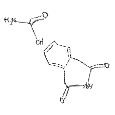 NC(=O)O.O=C1NC(=O)c2ccccc21